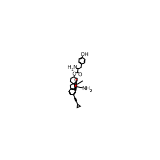 CN1C(=O)C2(N=C1N)c1cc(C#CC3CC3)ccc1CC21CCC(OC(=O)C(N)Cc2ccc(O)cc2)CC1